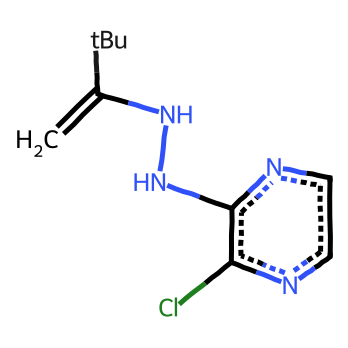 C=C(NNc1nccnc1Cl)C(C)(C)C